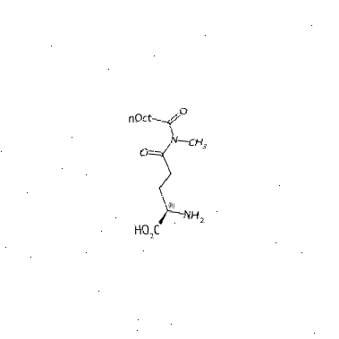 CCCCCCCCC(=O)N(C)C(=O)CC[C@@H](N)C(=O)O